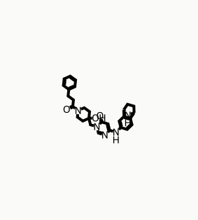 O=C(CCc1ccccc1)N1CCC(O)(Cn2cnc(Nc3ccc4c(c3)C3CCC4N3)cc2=O)CC1